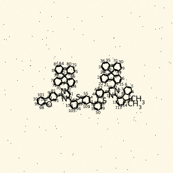 CC1(C)c2ccccc2-c2c(-c3nc(-c4cccc5c4-c4ccccc4C5(c4ccccc4)c4ccccc4)cc(-c4cccc5c4sc4cccc(-c6ccc7sc8c(-c9cc(-c%10cccc%11c%10-c%10ccccc%10C%11(c%10ccccc%10)c%10ccccc%10)nc(-c%10ccc%11c(c%10)oc%10ccccc%10%11)n9)cccc8c7c6)c45)n3)cccc21